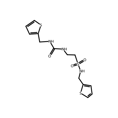 O=C(NCCS(=O)(=O)NCc1cccs1)NCc1cccs1